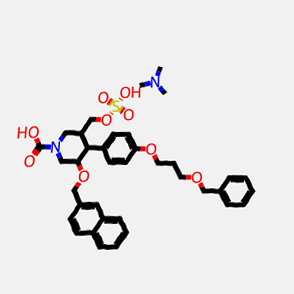 CN(C)C.O=C(O)N1CC(COS(=O)(=O)O)C(c2ccc(OCCCOCc3ccccc3)cc2)C(OCc2ccc3ccccc3c2)C1